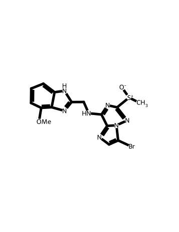 COc1cccc2[nH]c(CNc3nc([S+](C)[O-])nn4c(Br)cnc34)nc12